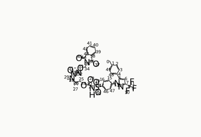 Cc1ccc(-c2cc(C(F)(F)F)nn2-c2ccc(S(=O)(=O)NC(=O)OC[C@H](C)N(C)[N+]([O-])=NOCN3C(=O)c4ccccc4C3=O)cc2)cc1